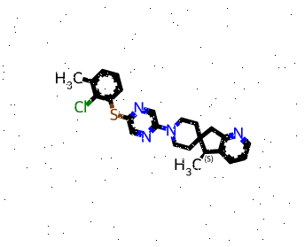 Cc1cccc(Sc2cnc(N3CCC4(CC3)Cc3ncccc3[C@H]4C)cn2)c1Cl